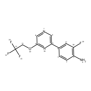 Nc1ccc(-c2cncc(OCC(F)(F)F)n2)cc1F